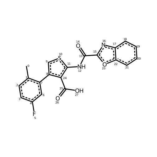 Cc1ccc(F)cc1-c1csc(NC(=O)c2nc3ccccc3o2)c1C(=O)O